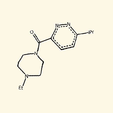 CCN1CCN(C(=O)c2ccc(C(C)C)nn2)CC1